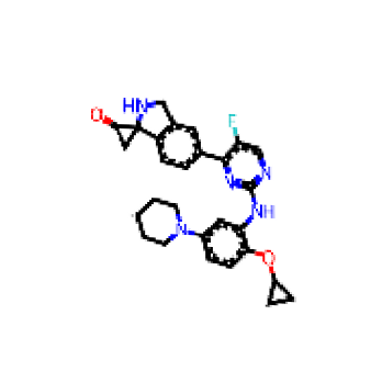 O=C1CC12NCc1cc(-c3nc(Nc4cc(N5CC[CH]CC5)ccc4OC4CC4)ncc3F)ccc12